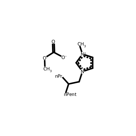 CCCCCC(CCC)Cn1cc[n+](C)c1.COC(=O)[O-]